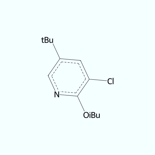 CC(C)COc1ncc(C(C)(C)C)cc1Cl